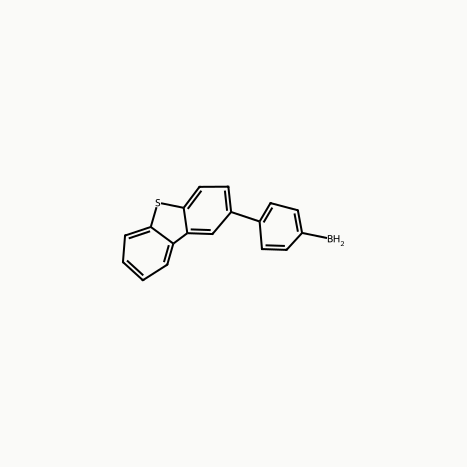 Bc1ccc(-c2ccc3sc4ccccc4c3c2)cc1